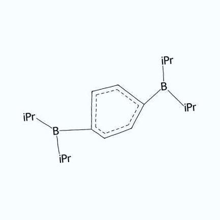 CC(C)B(c1ccc(B(C(C)C)C(C)C)cc1)C(C)C